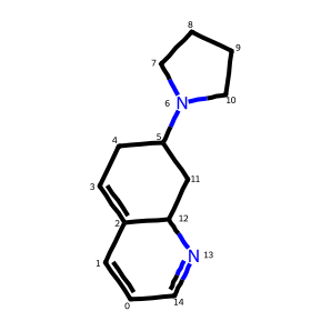 C1=CC2=CCC(N3CCCC3)CC2N=C1